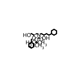 CC(C)(C)OC(=O)N(C[C@@H](O)CCC1CCCCC1)C[C@H](CO)OCc1ccccc1